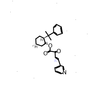 C[C@@H]1CC[C@@H](C(C)(C)c2ccccc2)[C@H](OC(=O)C(=O)/C=C/c2cccnc2)C1